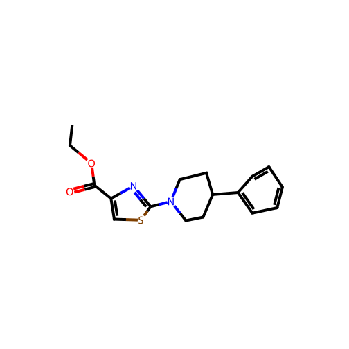 CCOC(=O)c1csc(N2CCC(c3ccccc3)CC2)n1